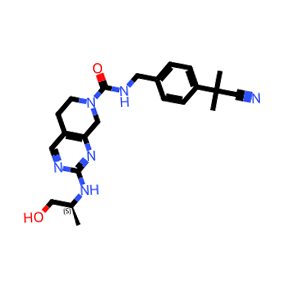 C[C@@H](CO)Nc1ncc2c(n1)CN(C(=O)NCc1ccc(C(C)(C)C#N)cc1)CC2